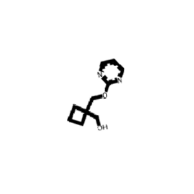 OCC1(COc2ncccn2)CCC1